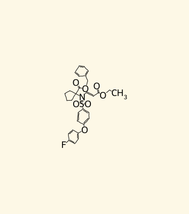 CCOC(=O)C=CN(C1(C(=O)OCc2ccccc2)CCCC1)S(=O)(=O)c1ccc(Oc2ccc(F)cc2)cc1